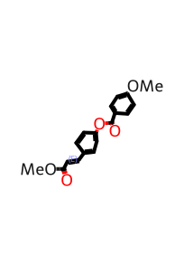 COC(=O)/C=C/c1ccc(OC(=O)c2ccc(OC)cc2)cc1